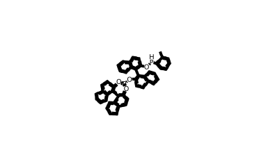 Cc1ccccc1POc1ccc2ccccc2c1-c1c(Op2oc3ccc4ccccc4c3c3c(ccc4ccccc43)o2)ccc2ccccc12